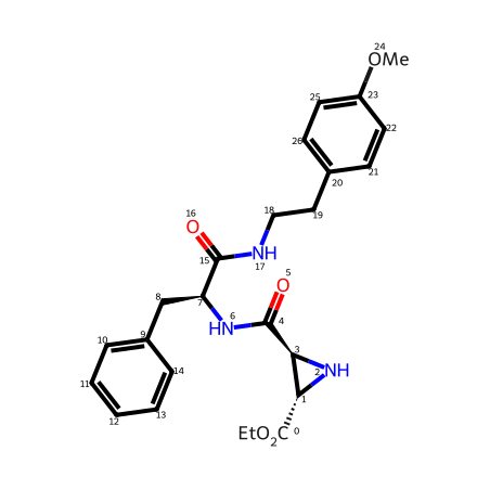 CCOC(=O)[C@H]1N[C@@H]1C(=O)N[C@@H](Cc1ccccc1)C(=O)NCCc1ccc(OC)cc1